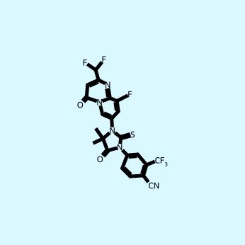 CC1(C)C(=O)N(c2ccc(C#N)c(C(F)(F)F)c2)C(=S)N1c1cc(F)c2nc(C(F)F)cc(=O)n2c1